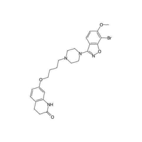 COc1ccc2c(N3CCN(CCCCOc4ccc5c(c4)NC(=O)CC5)CC3)noc2c1Br